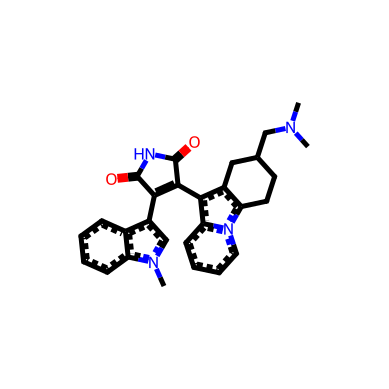 CN(C)CC1CCc2c(c(C3=C(c4cn(C)c5ccccc45)C(=O)NC3=O)c3ccccn23)C1